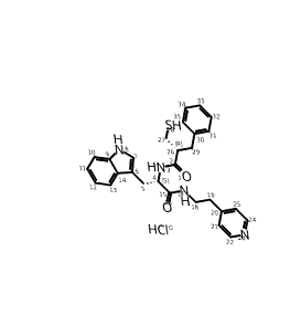 Cl.O=C(N[C@@H](Cc1c[nH]c2ccccc12)C(=O)NCCc1ccncc1)[C@H](CS)Cc1ccccc1